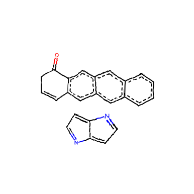 C1=NC2=CC=NC2=C1.O=C1CC=Cc2cc3cc4ccccc4cc3cc21